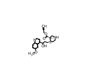 C#CCOC(=O)[C@H]1CNCC[C@H]1CC[C@@H](O)c1ccnc2ccc(OC)cc12